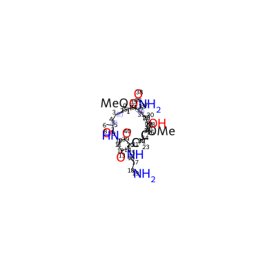 CO[C@H]1/C=C/C=C(/C)C(=O)NC2=CC(=O)C(NCCCN)=C(C[C@@H](C)C[C@H](OC)[C@H](O)[C@@H](C)/C=C(\C)[C@@H]1OC(N)=O)C2=O